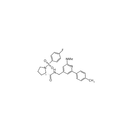 CNc1cc(CNC(=O)[C@@H]2CCCN2S(=O)(=O)c2ccc(F)cc2)cc(-c2ccc(C)cc2)n1